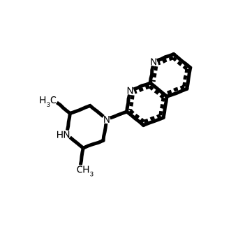 CC1CN(c2ccc3cccnc3n2)CC(C)N1